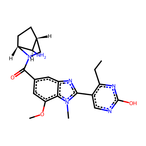 CCc1nc(O)ncc1-c1nc2cc(C(=O)N3C[C@H]4CC[C@@H]3[C@@H]4N)cc(OC)c2n1C